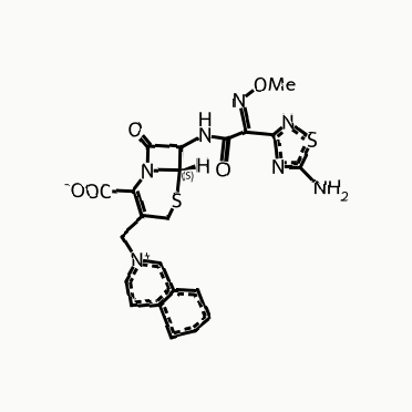 CON=C(C(=O)NC1C(=O)N2C(C(=O)[O-])=C(C[n+]3ccc4ccccc4c3)CS[C@@H]12)c1nsc(N)n1